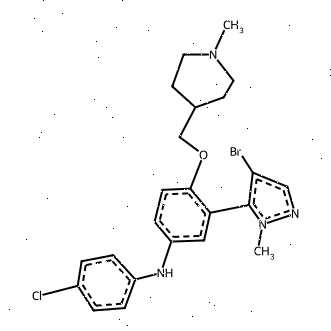 CN1CCC(COc2ccc(Nc3ccc(Cl)cc3)cc2-c2c(Br)cnn2C)CC1